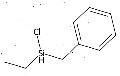 CC[SiH](Cl)Cc1ccccc1